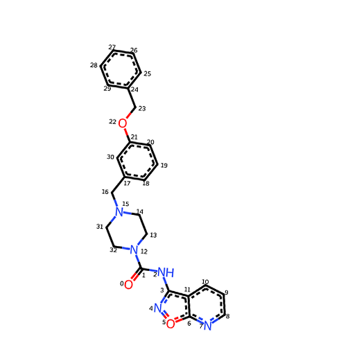 O=C(Nc1noc2ncccc12)N1CCN(Cc2cccc(OCc3ccccc3)c2)CC1